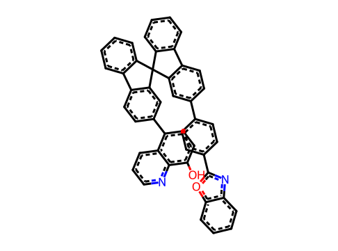 Oc1ccc(-c2ccc3c(c2)C2(c4ccccc4-c4ccc(-c5ccc(-c6nc7ccccc7o6)cc5)cc42)c2ccccc2-3)c2cccnc12